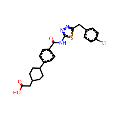 O=C(O)CC1CCC(c2ccc(C(=O)Nc3nnc(Cc4ccc(Cl)cc4)s3)cc2)CC1